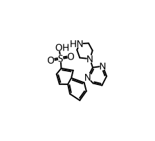 O=S(=O)(O)c1ccc2ccccc2c1.c1cnc(N2CCNCC2)nc1